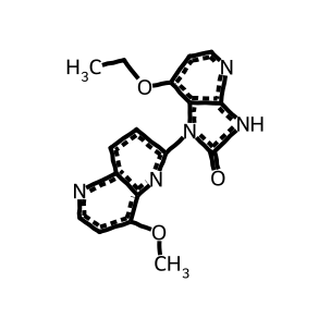 CCOc1ccnc2[nH]c(=O)n(-c3ccc4nccc(OC)c4n3)c12